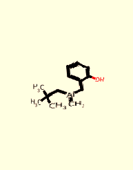 [CH3][Al]([CH2]c1ccccc1O)[CH2]C(C)(C)C